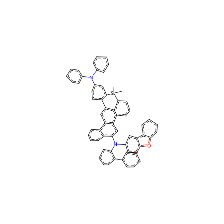 C[Si]1(C)c2cc(N(c3ccccc3)c3ccccc3)ccc2-c2cc3c4ccccc4c(N(c4ccc5oc6ccccc6c5c4)c4ccccc4-c4ccccc4)cc3c3cccc1c23